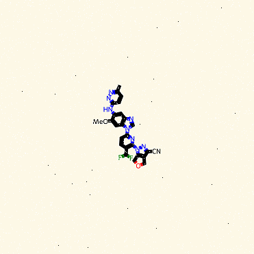 COc1cc2c(cc1Nc1ccc(C)nn1)ncn2-c1ccc(C(F)F)c(-n2nc(C#N)c3c2COC3)n1